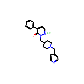 Cl.O=c1c(-c2ccccc2)ccnn1CC1CCN(Cc2ccncc2)CC1